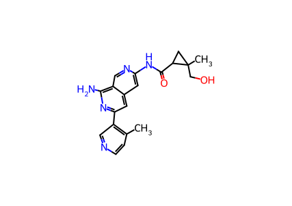 Cc1ccncc1-c1cc2cc(NC(=O)C3CC3(C)CO)ncc2c(N)n1